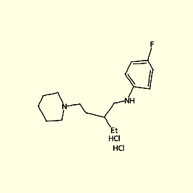 CCC(CCN1CCCCC1)CNc1ccc(F)cc1.Cl.Cl